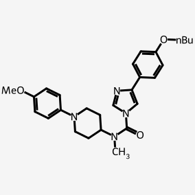 CCCCOc1ccc(-c2cn(C(=O)N(C)C3CCN(c4ccc(OC)cc4)CC3)cn2)cc1